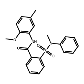 COc1ccc(C)cc1NC(=O)c1ccccc1S(=O)(=O)N(C)c1ccccc1